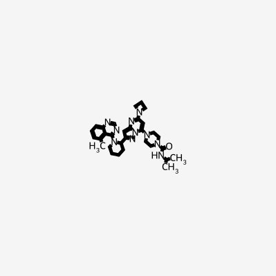 Cc1cccc2ncnc(N3CCCCC3c3cc4nc(N5CCC5)cc(N5CCN(C(=O)NC(C)C)CC5)n4n3)c12